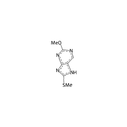 COc1ncc2[nH]c(SC)nc2n1